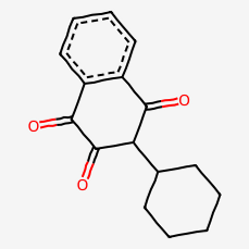 O=C1C(=O)C(C2CCCCC2)C(=O)c2ccccc21